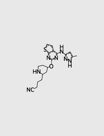 Cc1cc(Nc2nc(OC3CCNC(CCCC#N)C3)nc3sccc23)n[nH]1